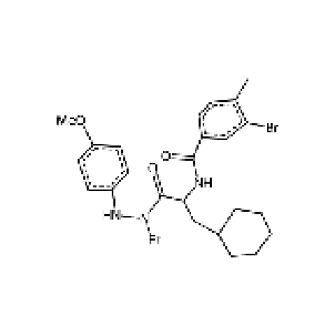 CCN(Nc1ccc(OC)cc1)C(=O)C(CC1CCCCC1)NC(=O)c1ccc(C)c(Br)c1